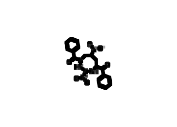 O=C(c1ccccc1)C1CC([N+](=O)[O-])CN(C(=O)c2ccccc2)NN([N+](=O)[O-])N1